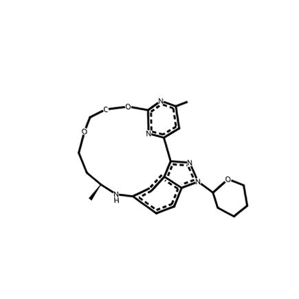 Cc1cc2nc(n1)OCCOCC[C@H](C)Nc1ccc3c(c1)c-2nn3C1CCCCO1